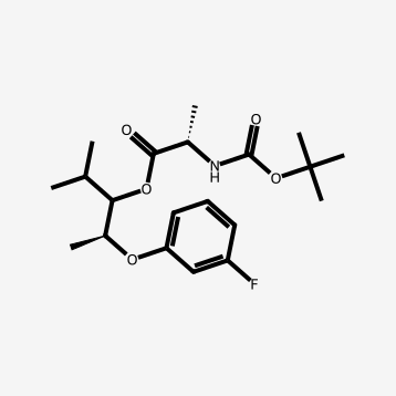 CC(C)C(OC(=O)[C@H](C)NC(=O)OC(C)(C)C)[C@H](C)Oc1cccc(F)c1